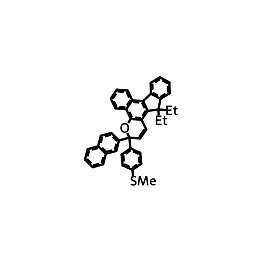 CCC1(CC)c2ccccc2-c2c1c1c(c3ccccc23)OC(c2ccc(SC)cc2)(c2ccc3ccccc3c2)C=C1